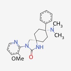 COc1cccnc1N1C[C@]2(CC[C@@](c3ccccc3)(N(C)C)CC2)NC1=O